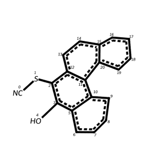 N#CSc1c(O)c2ccccc2c2c1ccc1ccccc12